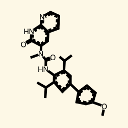 COc1ccc(-c2cc(C(C)C)c(NC(=O)N(C)c3cc4cccnc4[nH]c3=O)c(C(C)C)c2)cc1